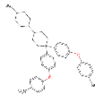 CCCCC1CCC(C2CCC(c3ccc(Oc4ccc([N+](=O)[O-])cc4)cc3)(c3ccc(Oc4ccc([N+](=O)[O-])cc4)cc3)CC2)CC1